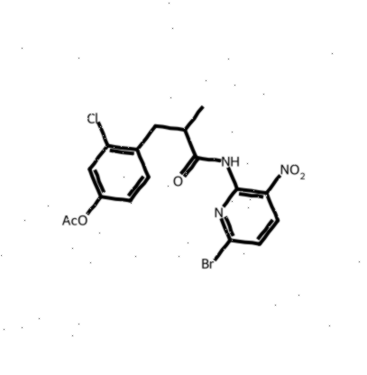 CC(=O)Oc1ccc(CC(C)C(=O)Nc2nc(Br)ccc2[N+](=O)[O-])c(Cl)c1